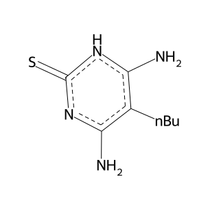 CCCCc1c(N)nc(=S)[nH]c1N